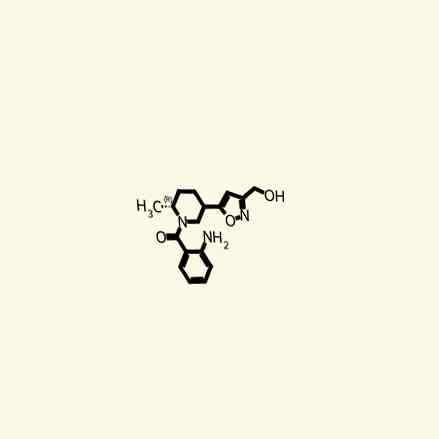 C[C@@H]1CCC(c2cc(CO)no2)CN1C(=O)c1ccccc1N